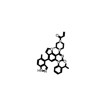 C=CC(=O)N1CCN(c2nc(=O)n(-c3ccccc3C(C)C)c3cc(-c4c(C)ccc5[nH]ncc45)c4ccoc4c23)[C@@H](C)C1